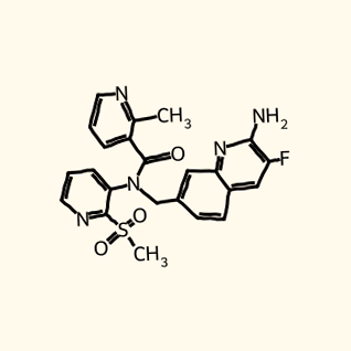 Cc1ncccc1C(=O)N(Cc1ccc2cc(F)c(N)nc2c1)c1cccnc1S(C)(=O)=O